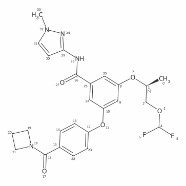 C[C@@H](COC(F)F)Oc1cc(Oc2ccc(C(=O)N3CCC3)cc2)cc(C(=O)Nc2ccn(C)n2)c1